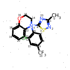 Cc1nsc([N+]2(c3ccc(C(F)(F)F)cc3Cl)CCOc3ccccc32)n1